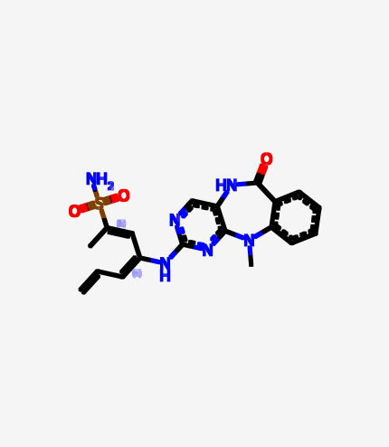 C=C/C=C(\C=C(/C)S(N)(=O)=O)Nc1ncc2c(n1)N(C)c1ccccc1C(=O)N2